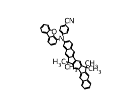 CC1(C)c2cc3c(cc2-c2cc4ccccc4cc21)C(C)(C)c1cc2cc(N(c4ccc(C#N)cc4)c4cccc5c4oc4ccccc45)ccc2cc1-3